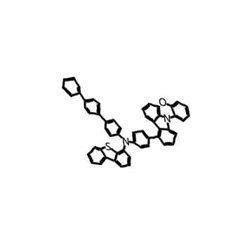 c1ccc(-c2ccc(-c3ccc(N(c4ccc(-c5cccc6c5c5cccc7c5n6-c5ccccc5O7)cc4)c4cccc5c4sc4ccccc45)cc3)cc2)cc1